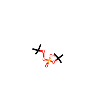 CC(C)(C)OOP(=O)(O)OC(C)(C)C